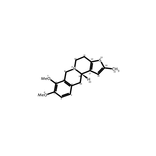 COc1ccc2c(c1OC)CN1CCc3sc(C)cc3[C@@H]1C2